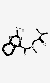 CN(C)C(=O)CN(C)C(=O)c1nc(N)nc2ccccc12